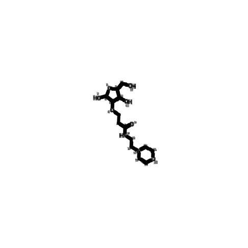 O=C(CCOC1C(O)OC(CO)C1O)NCCN1CCOCC1